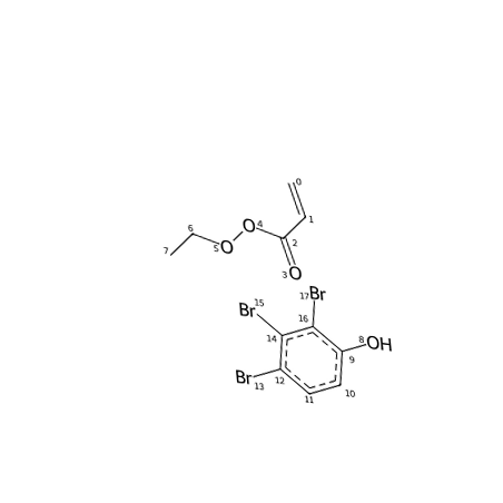 C=CC(=O)OOCC.Oc1ccc(Br)c(Br)c1Br